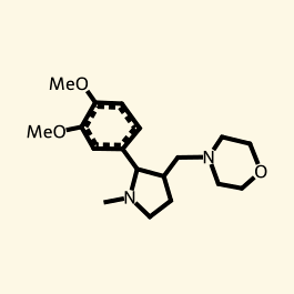 COc1ccc(C2C(CN3CCOCC3)CCN2C)cc1OC